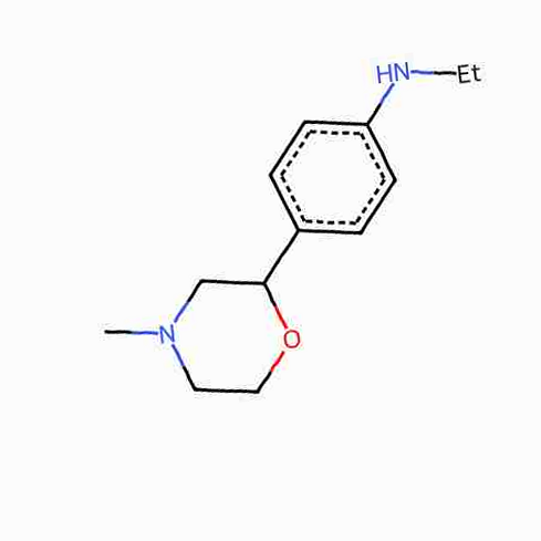 CCNc1ccc(C2CN(C)CCO2)cc1